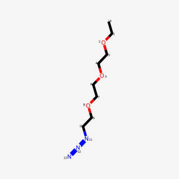 [CH2]COCCOCCOCCN=[N+]=[N-]